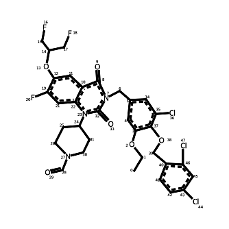 CCOc1cc(Cn2c(=O)c3cc(OC(CF)CF)c(F)cc3n(C3CCN(C=O)CC3)c2=O)cc(Cl)c1OCc1ccc(Cl)cc1Cl